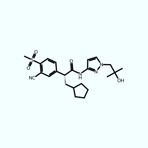 CC(C)(O)Cn1ccc(NC(=O)[C@H](CC2CCCC2)c2ccc(S(C)(=O)=O)c(C#N)c2)n1